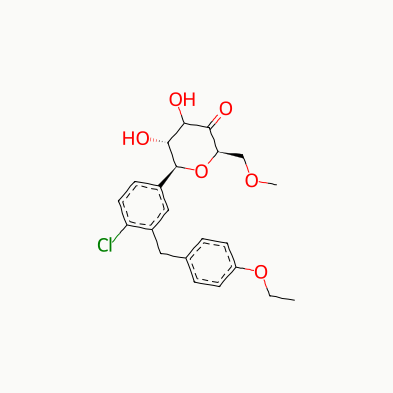 CCOc1ccc(Cc2cc([C@@H]3O[C@H](COC)C(=O)C(O)[C@H]3O)ccc2Cl)cc1